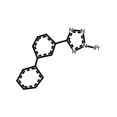 CC(C)n1nnc(-c2cccc(-c3ccccc3)c2)n1